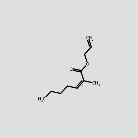 C=CCOC(=O)/C(C)=C\CCCC